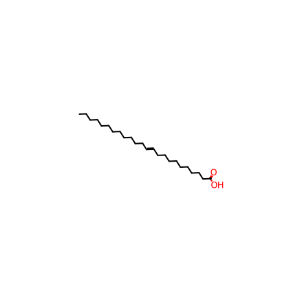 CCCCCCCCCCCCC=CCCCCCCCCCC(=O)O